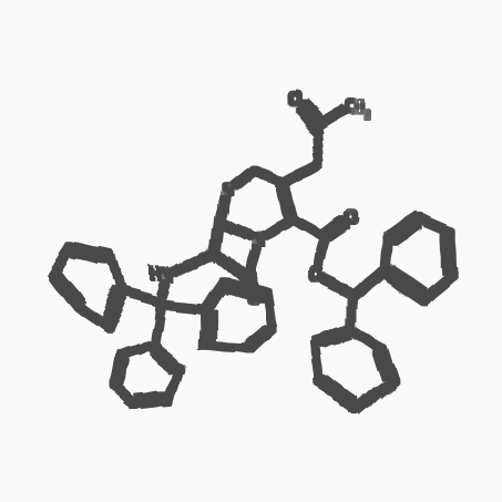 CC(=O)CC1=C(C(=O)OC(c2ccccc2)c2ccccc2)N2C(=O)C(NC(c3ccccc3)(c3ccccc3)c3ccccc3)C2SC1